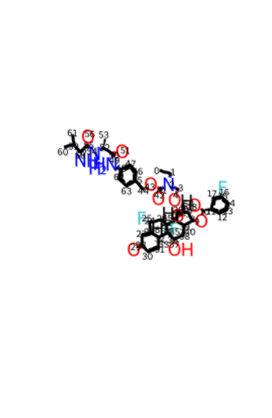 CCN(COCC(=O)[C@@]12O[C@H](c3cccc(F)c3)O[C@@H]1C[C@H]1[C@@H]3C[C@H](F)C4=CC(=O)C=C[C@]4(C)[C@@]3(F)[C@@H](O)C[C@@]12C)C(=O)OCc1ccc(NC(=O)[C@H](C)NC(=O)C(N)C(C)C)cc1